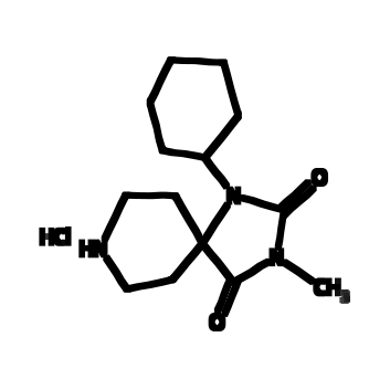 CN1C(=O)N(C2CCCCC2)C2(CCNCC2)C1=O.Cl